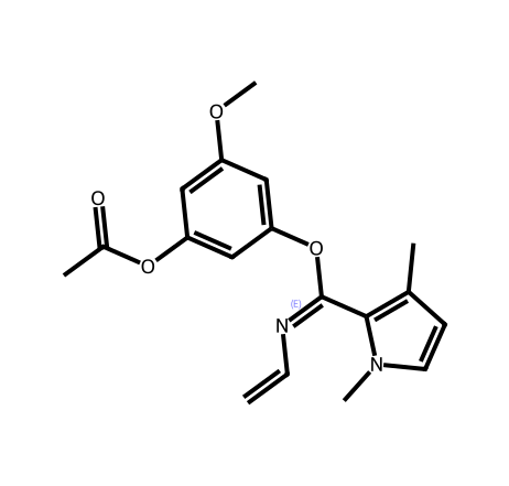 C=C/N=C(/Oc1cc(OC)cc(OC(C)=O)c1)c1c(C)ccn1C